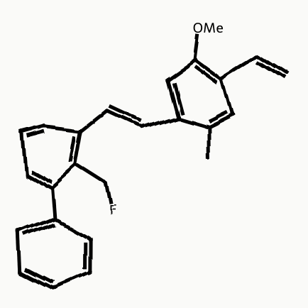 C=Cc1cc(C)c(/C=C/c2cccc(-c3ccccc3)c2CF)cc1OC